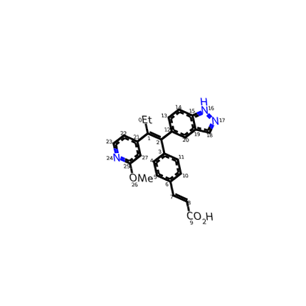 CC/C(=C(/c1ccc(/C=C/C(=O)O)cc1)c1ccc2[nH]ncc2c1)c1ccnc(OC)c1